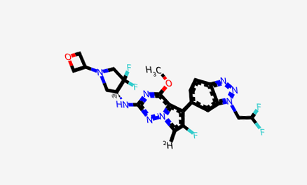 [2H]c1c(F)c(-c2ccc3nnn(CC(F)F)c3c2)c2c(OC)nc(N[C@@H]3CN(C4COC4)CC3(F)F)nn12